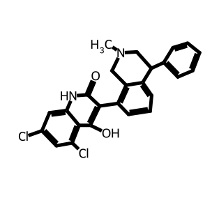 CN1Cc2c(-c3c(O)c4c(Cl)cc(Cl)cc4[nH]c3=O)cccc2C(c2ccccc2)C1